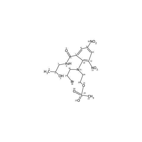 CC(O)C[AsH]C(=O)c1cc([N+](=O)[O-])cc([N+](=O)[O-])c1N(CCBr)CCOS(C)(=O)=O